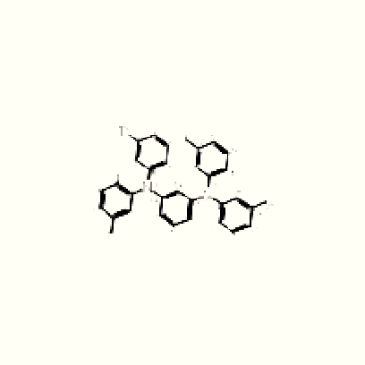 Bc1cccc(N(c2cccc(C)c2)c2cccc(N(c3cccc(C)c3)c3cccc(C)c3)c2)c1